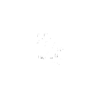 O=C([C@H]1CC[C@H](C(F)(F)F)CC1)N1CCC[C@@H]1CO